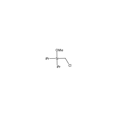 CO[Si](CCl)(C(C)C)C(C)C